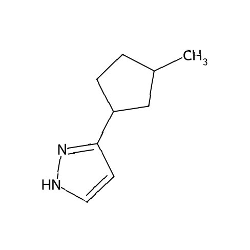 CC1CCC(c2cc[nH]n2)C1